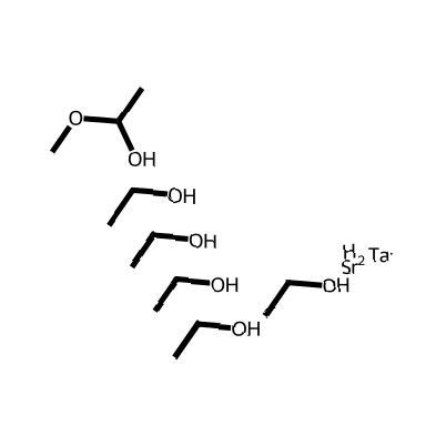 CCO.CCO.CCO.CCO.CCO.COC(C)O.[SrH2].[Ta]